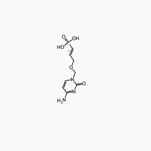 Nc1ccn(COC/C=C/P(=O)(O)O)c(=O)n1